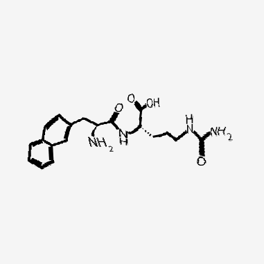 NC(=O)NCCC[C@H](NC(=O)[C@@H](N)Cc1ccc2ccccc2c1)C(=O)O